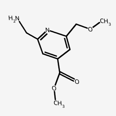 COCc1cc(C(=O)OC)cc(CN)n1